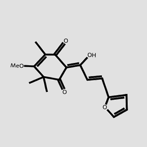 COC1=C(C)C(=O)/C(=C(O)/C=C/c2ccco2)C(=O)C1(C)C